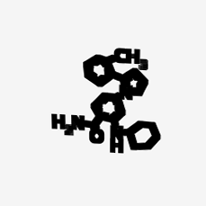 Cc1ccccc1-c1cccn1-c1ccc(C(N)=O)c(NC2CCCCC2)c1